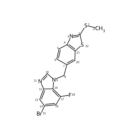 CSc1nc2ccc(Cn3cnc4cc(Br)cc(F)c43)cc2s1